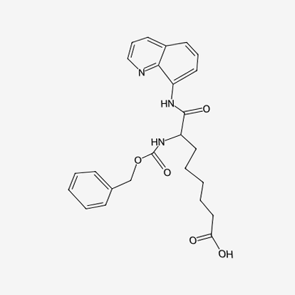 O=C(O)CCCCCC(NC(=O)OCc1ccccc1)C(=O)Nc1cccc2cccnc12